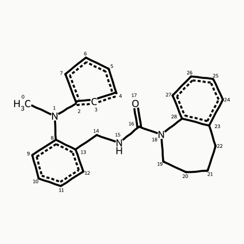 CN(c1ccccc1)c1ccccc1CNC(=O)N1CCCCc2ccccc21